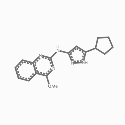 COc1nc(Nc2cc(C3CCCC3)[nH]n2)nc2ccccc12